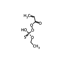 C=CC(=O)OOP(O)(=S)OCC